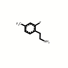 NCCc1ccc(C(F)(F)F)cc1F